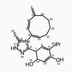 C=C1/C=C\C(n2c(C3C=C(C(C)C)C(O)=CC3O)n[nH]c2=S)=C/CCCC1